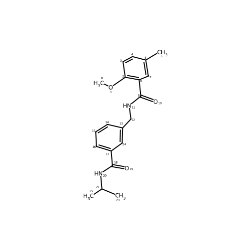 COc1ccc(C)cc1C(=O)NCc1cccc(C(=O)NC(C)C)c1